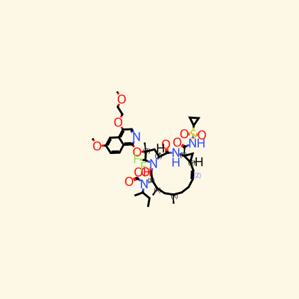 CCC(C)N(C(=O)O)[C@@H]1C(=O)N2[C@@H](C[C@@](C)(Oc3ncc(OCCOC)c4cc(OC)ccc34)C2(F)F)C(=O)N[C@]2(C(=O)NS(=O)(=O)C3CC3)C[C@H]2/C=C\CC[C@@H](C)C[C@H]1C